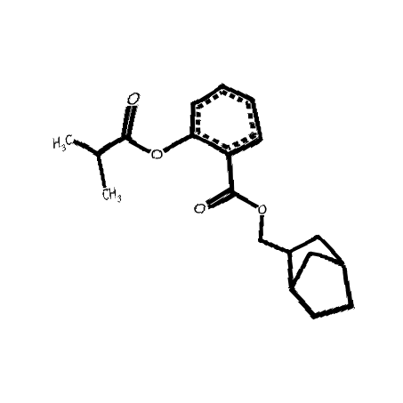 CC(C)C(=O)Oc1ccccc1C(=O)OCC1CC2CCC1C2